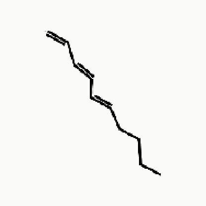 [CH]=CC=CC=CCCCC